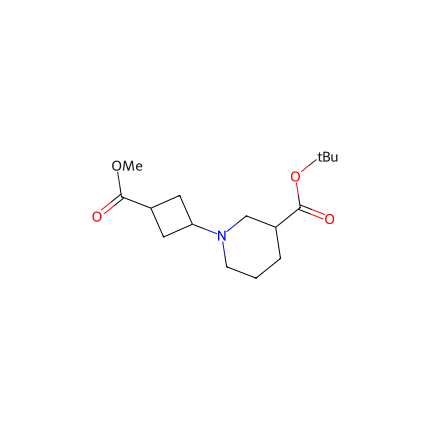 COC(=O)C1CC(N2CCCC(C(=O)OC(C)(C)C)C2)C1